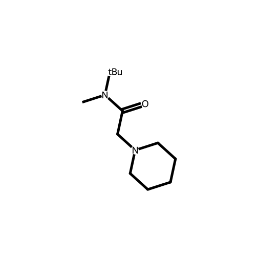 CN(C(=O)CN1CCCCC1)C(C)(C)C